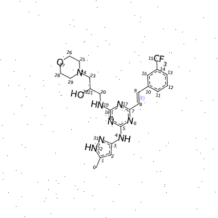 Cc1cc(Nc2nc(/C=C/c3cccc(C(F)(F)F)c3)nc(NCC(O)CN3CCOCC3)n2)n[nH]1